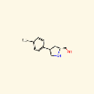 OC[C@@H]1CC(c2ccc(C(F)(F)F)cc2)CN1